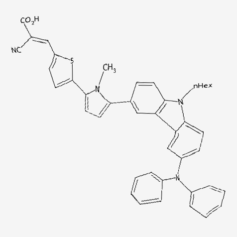 CCCCCCn1c2ccc(-c3ccc(-c4ccc(/C=C(\C#N)C(=O)O)s4)n3C)cc2c2cc(N(c3ccccc3)c3ccccc3)ccc21